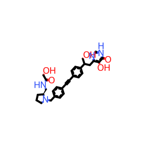 O=C(CO)NC[C@@H]1CCCN1Cc1ccc(C#Cc2ccc(C(CO)Cc3nc[nH]c(=O)c3O)cc2)cc1